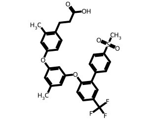 Cc1cc(Oc2ccc(CCC(=O)O)c(C)c2)cc(Oc2ccc(C(F)(F)F)cc2-c2ccc(S(C)(=O)=O)cc2)c1